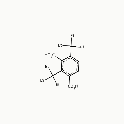 CCC(CC)(CC)c1ccc(C(=O)O)c(C(CC)(CC)CC)c1C(=O)O